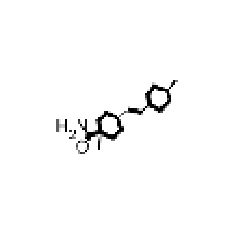 C[C@H]1CC[C@@H](CC[C@H]2CC[C@@](C)(C(N)=O)CC2)CC1